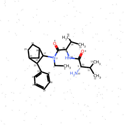 CCN(C(=O)[C@H](NC(=O)[C@@H](N)C(C)C)C(C)C)C1C2CCC(C2)C1c1ccccc1